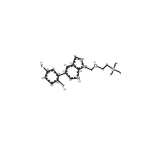 C[Si](C)(C)CCOCn1ncc2cc(-c3cc(F)ccc3F)cnc21